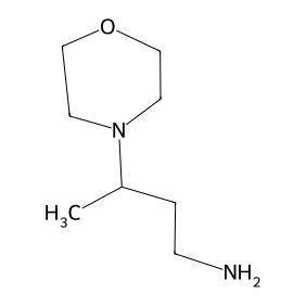 CC(CCN)N1CCOCC1